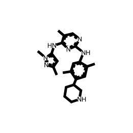 Cc1cc(Nc2nc(Nc3cc(C)c(C4CCCNC4)cc3C)ncc2C)n(C)n1